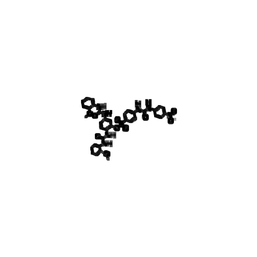 COc1ccccc1NC(=O)Nc1ccc(NC(=O)Nc2ccccc2OC)c(OS(=O)(=O)c2ccc(NC(=O)Nc3ccc([N+](=O)[O-])cc3)cc2)c1